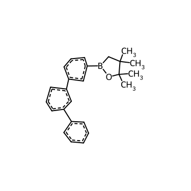 CC1(C)CB(c2cccc(-c3cccc(-c4ccccc4)c3)c2)OC1(C)C